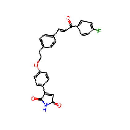 O=C1C=C(c2ccc(OCCc3ccc(C=CC(=O)c4ccc(F)cc4)cc3)cc2)C(=O)N1